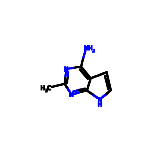 Cc1nc(N)c2cc[nH]c2n1